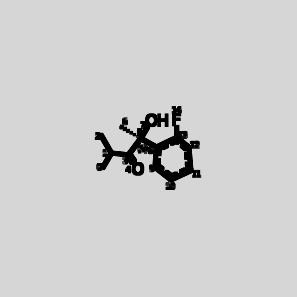 CC(C)C(=O)[C@@](C)(O)c1ccccc1F